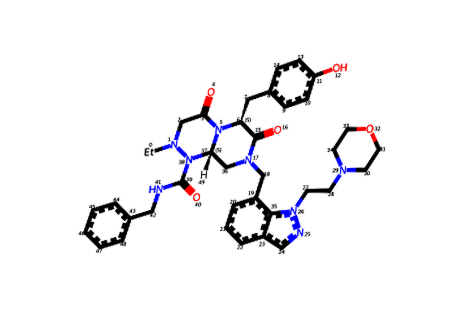 CCN1CC(=O)N2[C@@H](Cc3ccc(O)cc3)C(=O)N(Cc3cccc4cnn(CCN5CCOCC5)c34)C[C@@H]2N1C(=O)NCc1ccccc1